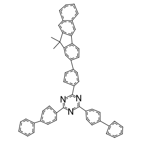 CC1(C)c2cc(-c3ccc(-c4nc(-c5ccc(-c6ccccc6)cc5)nc(-c5ccc(-c6ccccc6)cc5)n4)cc3)ccc2-c2cc3ccccc3cc21